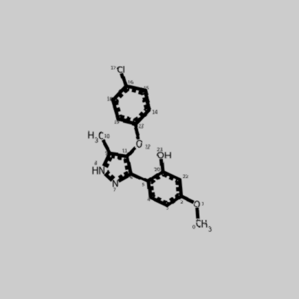 COc1ccc(-c2n[nH]c(C)c2Oc2ccc(Cl)cc2)c(O)c1